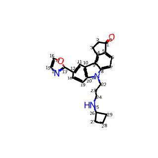 O=C1CCc2c1ccc1c2c2cc(-c3ncco3)ccc2n1CCCNC1CCC1